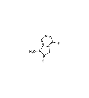 CN1C(=O)Cc2c(F)cccc21